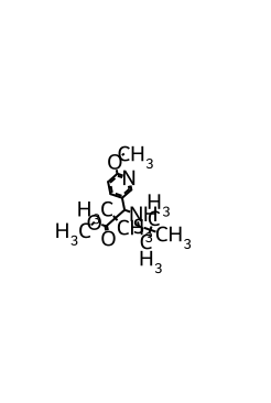 COC(=O)C(C)(C)C(NSC(C)(C)C)c1ccc(OC)nc1